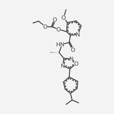 CCOC(=O)Oc1c(OC)ccnc1C(=O)N[C@@H](C)c1noc(-c2ccc(C(C)C)cc2)n1